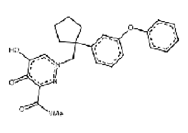 CNC(=O)c1nn(CC2(c3cccc(Oc4ccccc4)c3)CCCC2)cc(O)c1=O